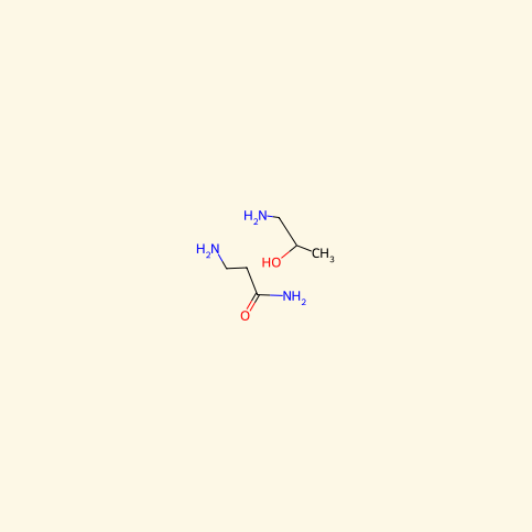 CC(O)CN.NCCC(N)=O